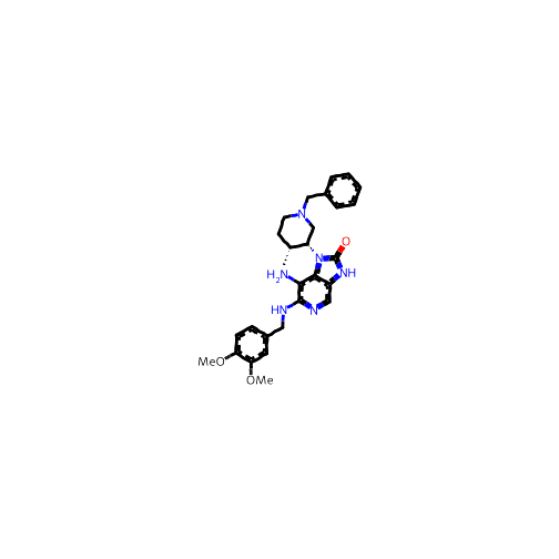 COc1ccc(CNc2ncc3[nH]c(=O)n([C@H]4CN(Cc5ccccc5)CC[C@H]4C)c3c2N)cc1OC